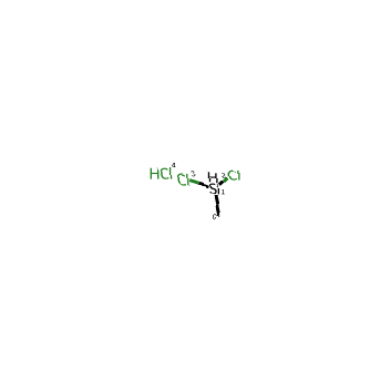 C[SiH](Cl)Cl.Cl